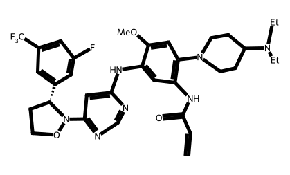 C=CC(=O)Nc1cc(Nc2cc(N3OCC[C@@H]3c3cc(F)cc(C(F)(F)F)c3)ncn2)c(OC)cc1N1CCC(N(CC)CC)CC1